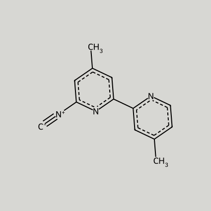 [C-]#[N+]c1cc(C)cc(-c2cc(C)ccn2)n1